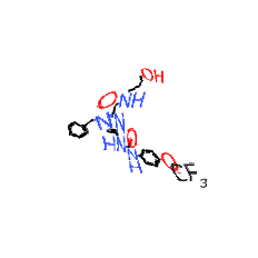 O=C(Nc1ccc(OC(F)(F)F)cc1)Nc1cn(Cc2ccccc2)c(C(=O)NCCCO)n1